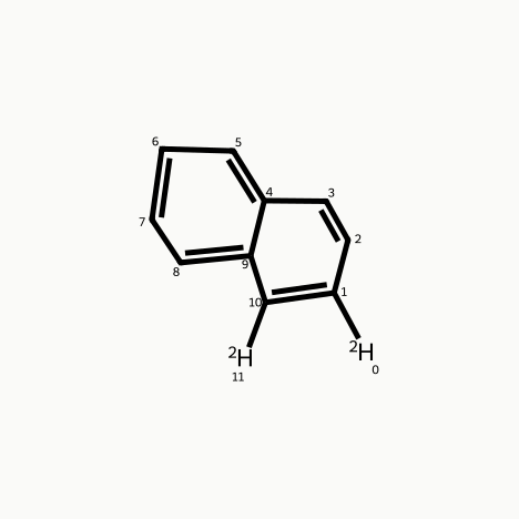 [2H]c1ccc2ccccc2c1[2H]